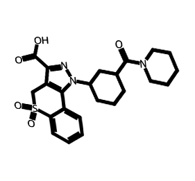 O=C(O)c1nn(C2CCCC(C(=O)N3CCCCC3)C2)c2c1CS(=O)(=O)c1ccccc1-2